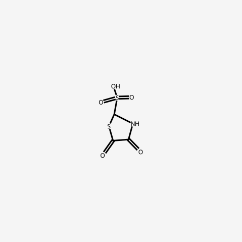 O=C1NC(S(=O)(=O)O)SC1=O